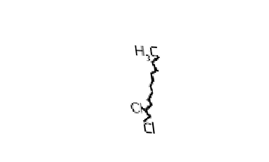 CCCCCCCCCCC(Cl)CCCl